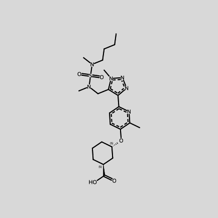 CCCCN(C)S(=O)(=O)N(C)Cc1c(-c2ccc(O[C@H]3CCC[C@H](C(=O)O)C3)c(C)n2)nnn1C